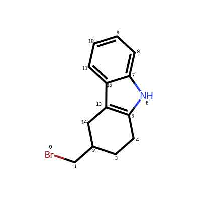 BrCC1CCc2[nH]c3ccccc3c2C1